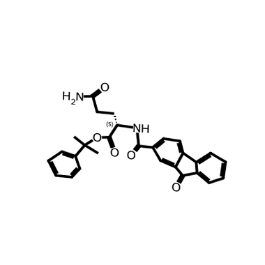 CC(C)(OC(=O)[C@H](CCC(N)=O)NC(=O)c1ccc2c(c1)C(=O)c1ccccc1-2)c1ccccc1